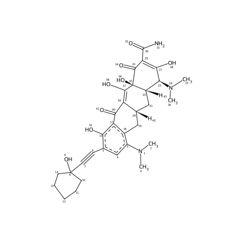 CN(C)c1cc(C#CC2(O)CCCCC2)c(O)c2c1C[C@H]1C[C@H]3[C@H](N(C)C)C(O)=C(C(N)=O)C(=O)[C@@]3(O)C(O)=C1C2=O